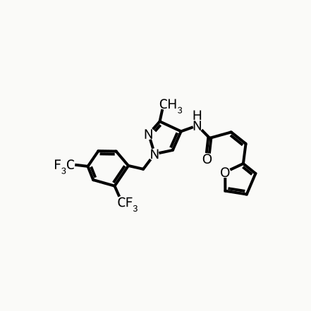 Cc1nn(Cc2ccc(C(F)(F)F)cc2C(F)(F)F)cc1NC(=O)/C=C\c1ccco1